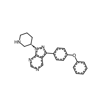 c1ccc(Oc2ccc(-c3nn([C@@H]4CCCNC4)c4ncncc34)cc2)cc1